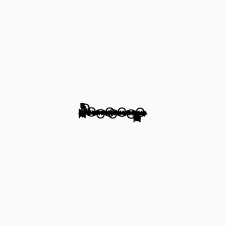 CCOC(COCCOCCOOCCOCCOCC(OCC)[N+](C)(C)C)[N+](C)(C)C